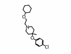 CC1(Oc2ccc(Cl)cc2)CCN(CCOC2CCCCC2)CC1